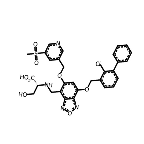 CS(=O)(=O)c1cncc(COc2cc(OCc3cccc(-c4ccccc4)c3Cl)c3nonc3c2CN[C@H](CO)C(=O)O)c1